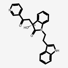 O=C(C[C@]1(O)C(=O)N(CCc2c[nH]c3ccccc23)c2ccccc21)c1cccnc1